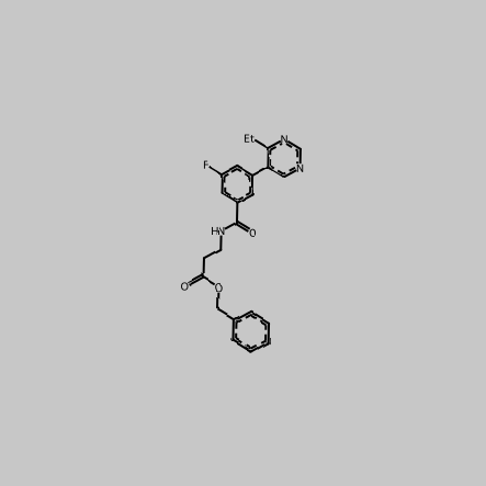 CCc1ncncc1-c1cc(F)cc(C(=O)NCCC(=O)OCc2ccccc2)c1